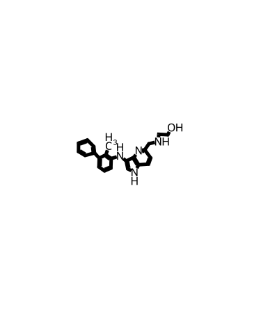 Cc1c(Nc2c[nH]c3ccc(CNCCO)nc23)cccc1-c1ccccc1